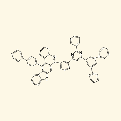 c1ccc(-c2ccc(-c3c4c(cc5c(-c6cccc(-c7cc(-c8cc(-c9ccccc9)cc(-c9ccccc9)c8)nc(-c8ccccc8)n7)c6)nc6ccccc6c35)oc3ccccc34)cc2)cc1